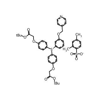 CC(C)(C)OC(=O)COc1ccc([S+](c2ccc(OCC(=O)OC(C)(C)C)cc2)c2cccc(OCc3ccncc3)c2)cc1.Cc1ccc(S(=O)(=O)[O-])c(C)c1